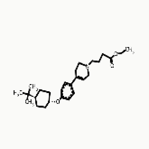 CCOC(=O)CCCN1CC=C(c2ccc(O[C@H]3CC[C@H](C(C)(C)C)CC3)cc2)CC1